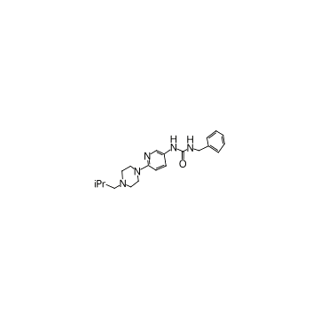 CC(C)CN1CCN(c2ccc(NC(=O)NCc3ccccc3)cn2)CC1